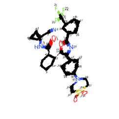 N#CC1(NC(=O)[C@@H]2CCCC[C@H]2c2oc(-c3cccc(C(F)(F)F)c3)nc2-c2ccc(N3CCS(=O)(=O)CC3)cc2)CC1